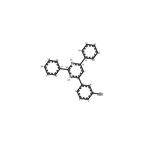 Brc1cccc(-c2cc(-c3ccccc3)nc(-c3ccccc3)n2)c1